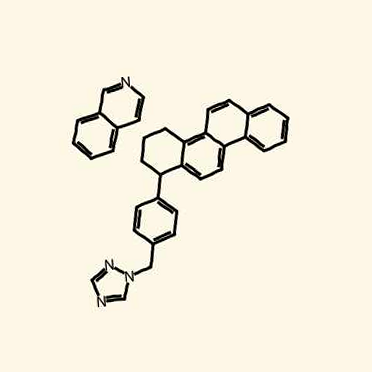 c1ccc2c(c1)ccc1c3c(ccc12)C(c1ccc(Cn2cncn2)cc1)CCC3.c1ccc2cnccc2c1